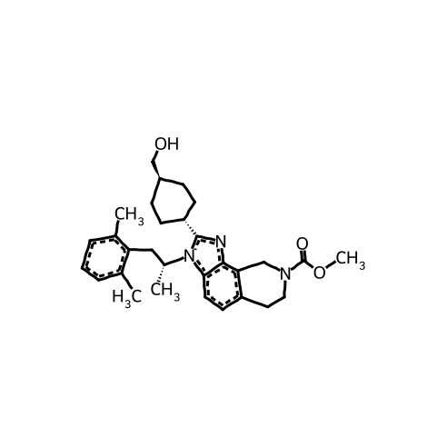 COC(=O)N1CCc2ccc3c(nc([C@H]4CC[C@H](CO)CC4)n3[C@H](C)Cc3c(C)cccc3C)c2C1